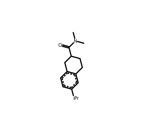 CC(C)c1ccc2c(c1)CCC(C(=O)N(C)C)C2